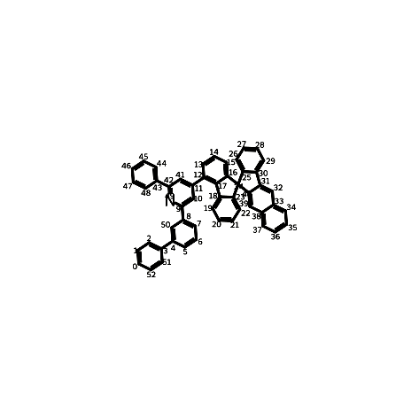 c1ccc(-c2cccc(-c3cc(-c4cccc5c4-c4ccccc4C54c5ccccc5-c5cc6ccccc6cc54)cc(-c4ccccc4)n3)c2)cc1